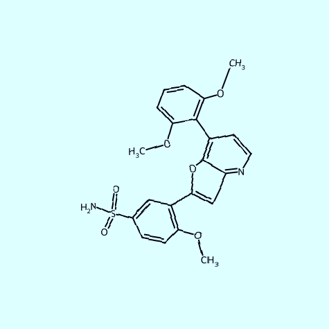 COc1ccc(S(N)(=O)=O)cc1-c1cc2nccc(-c3c(OC)cccc3OC)c2o1